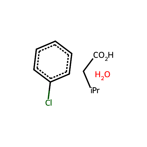 CC(C)CC(=O)O.Clc1ccccc1.O